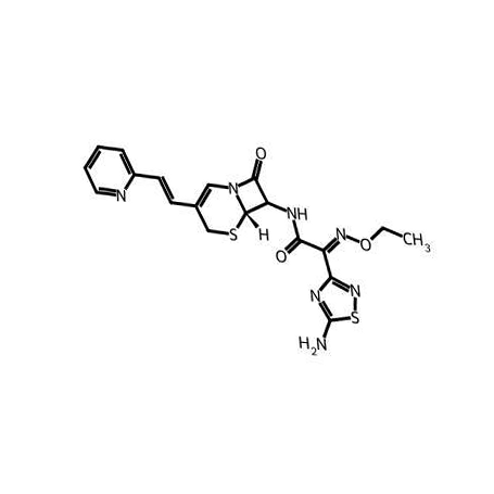 CCON=C(C(=O)NC1C(=O)N2C=C(C=Cc3ccccn3)CS[C@@H]12)c1nsc(N)n1